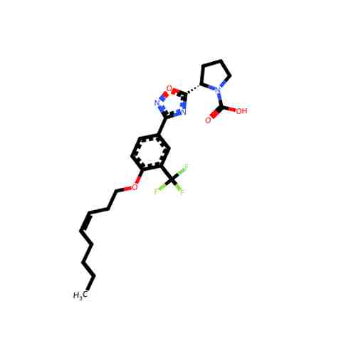 CCCC/C=C\CCOc1ccc(-c2noc([C@@H]3CCCN3C(=O)O)n2)cc1C(F)(F)F